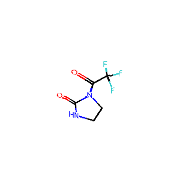 O=C1NCCN1C(=O)C(F)(F)F